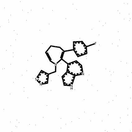 Fc1ccc(C2=C(c3ccnc4[nH]ccc34)N(Cc3cnsc3)C=CCC2)cc1